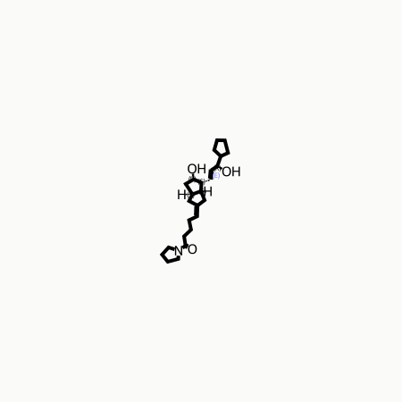 O=C(CCCC=C1C[C@H]2C[C@@H](O)[C@H](/C=C/[C@H](O)C3CCCC3)[C@H]2C1)N1CCCC1